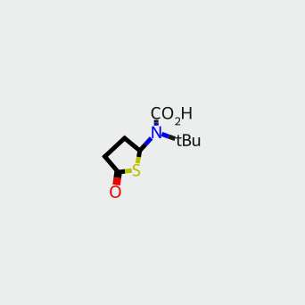 CC(C)(C)N(C(=O)O)C1CCC(=O)S1